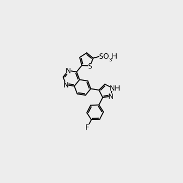 O=S(=O)(O)c1ccc(-c2ncnc3ccc(-c4c[nH]nc4-c4ccc(F)cc4)cc23)s1